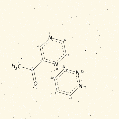 CC(=O)c1cnccn1.c1ccnnc1